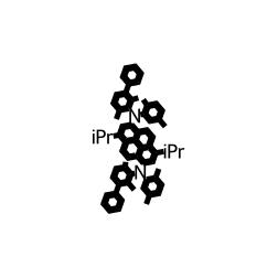 Cc1ccc(C)c(N(c2c(C)ccc(-c3ccccc3)c2C)c2cc(C(C)C)c3ccc4c(N(c5cc(C)ccc5C)c5c(C)ccc(-c6ccccc6)c5C)cc(C(C)C)c5ccc2c3c54)c1